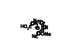 COc1cc(C#N)ccc1COc1cncc(C23CCN(Cc4nc5ccc(C(=O)O)cc5n4CC4CCO4)CC2C3)n1